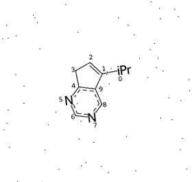 CC(C)C1=CCc2ncncc21